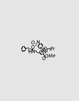 COC(=O)C(CCCCNC(=O)OCc1ccccc1)N(CCC(C)C)S(=O)(=O)c1ccc([N+](=O)[O-])cc1